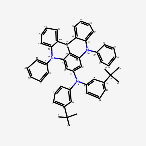 CC(C)(C)c1cccc(N(c2cccc(C(C)(C)C)c2)c2cc3c4c(c2)N(c2ccccc2)c2ccccc2B4c2ccccc2N3c2ccccc2)c1